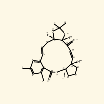 Cc1cc(C)c2c(c1)/C=C/C[C@@H]1OC(C)(C)O[C@@H]1C(=O)/C=C\[C@@H]1CCC[C@H]1OC2=O